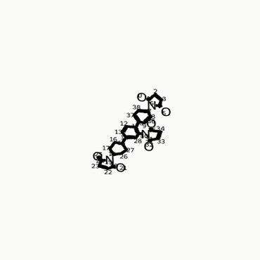 O=C1C=CC(=O)N1c1ccc(-c2ccc(C3CCC(N4C(=O)C=CC4=O)CC3)cc2N2C(=O)C=CC2=O)cc1